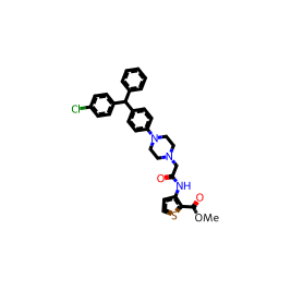 COC(=O)c1sccc1NC(=O)CN1CCN(c2ccc(C(c3ccccc3)c3ccc(Cl)cc3)cc2)CC1